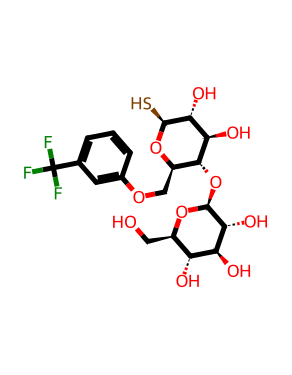 OC[C@H]1O[C@@H](O[C@H]2[C@H](O)[C@@H](O)[C@H](S)O[C@@H]2COc2cccc(C(F)(F)F)c2)[C@H](O)[C@@H](O)[C@@H]1O